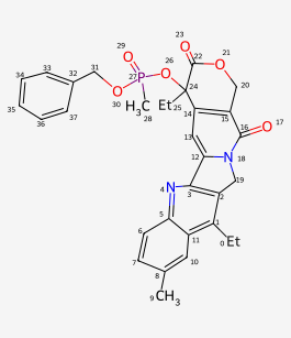 CCc1c2c(nc3ccc(C)cc13)-c1cc3c(c(=O)n1C2)COC(=O)C3(CC)OP(C)(=O)OCc1ccccc1